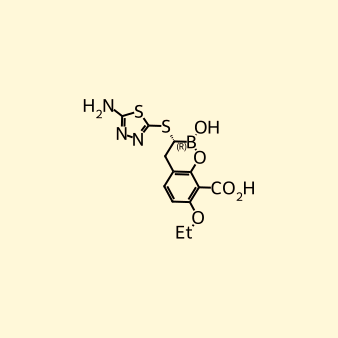 CCOc1ccc2c(c1C(=O)O)OB(O)[C@@H](Sc1nnc(N)s1)C2